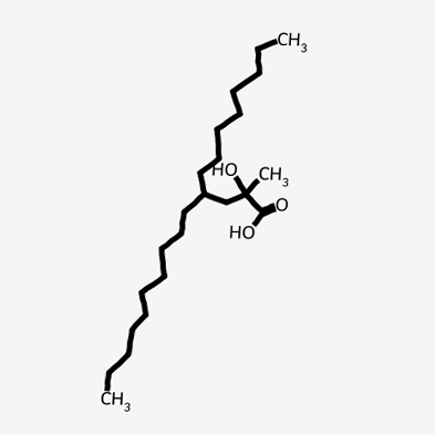 CCCCCCCCCCC(CCCCCCCC)CC(C)(O)C(=O)O